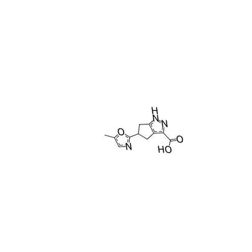 Cc1cnc(C2Cc3[nH]nc(C(=O)O)c3C2)o1